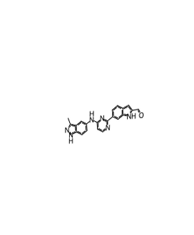 Cc1n[nH]c2ccc(Nc3ccnc(-c4ccc5cc(C=O)[nH]c5c4)n3)cc12